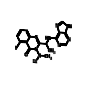 CCN(C)n1c(C(C)Nc2ncnc3[nH]cnc23)nc2cccc(F)c2c1=O